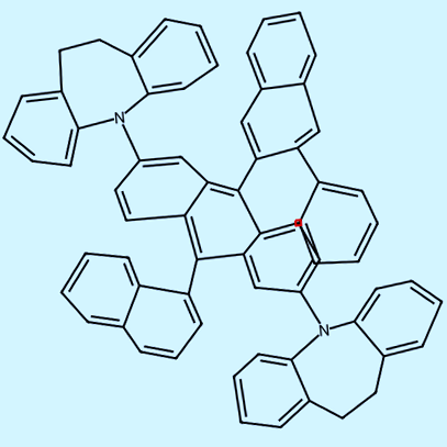 c1ccc(-c2cc3ccccc3cc2-c2c3cc(N4c5ccccc5CCc5ccccc54)ccc3c(-c3cccc4ccccc34)c3cc(N4c5ccccc5CCc5ccccc54)ccc23)cc1